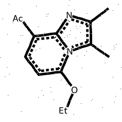 CCOc1ccc(C(C)=O)c2nc(C)c(C)n12